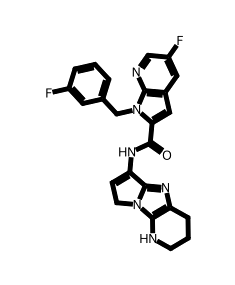 O=C(NC1=CCn2c1nc1c2NCCC1)c1cc2cc(F)cnc2n1Cc1cccc(F)c1